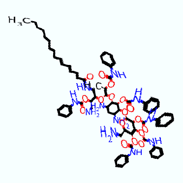 CCCCCCCCCCCCCCCC(=O)NCC(O[C@H](O[C@H]1C(N)C[C@H](N)C(O[C@H]2O[C@H](CN)[C@@H](OC(=O)Nc3ccccc3)C(OC(=O)Nc3ccccc3)C2OC(=O)Nc2ccccc2)C1OC(=O)Nc1ccccc1)[C@H](C)OC(=O)Nc1ccccc1)[C@H](CN)OC(=O)Nc1ccccc1